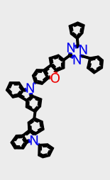 c1ccc(-c2nc(-c3ccccc3)nc(-c3ccc4c(c3)oc3cc(-n5c6ccccc6c6cc(-c7ccc8c(c7)c7ccccc7n8-c7ccccc7)ccc65)ccc34)n2)cc1